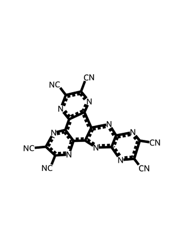 N#Cc1nc2nc3c4nc(C#N)c(C#N)nc4c4nc(C#N)c(C#N)nc4c3nc2nc1C#N